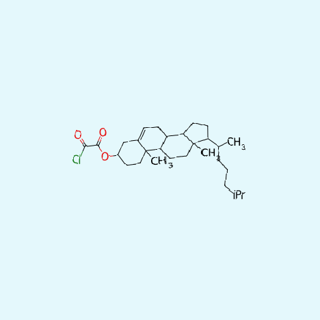 CC(C)CCCC(C)C1CCC2C3CC=C4CC(OC(=O)C(=O)Cl)CCC4(C)C3CCC12C